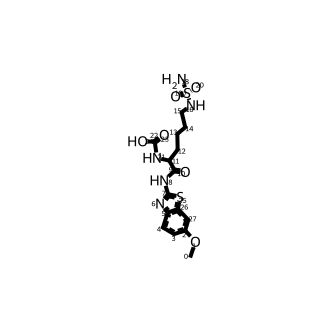 COc1ccc2nc(NC(=O)C(CCCCNS(N)(=O)=O)NC(=O)O)sc2c1